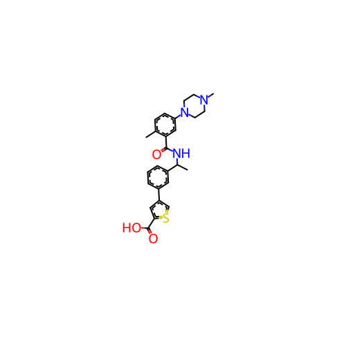 Cc1ccc(N2CCN(C)CC2)cc1C(=O)NC(C)c1cccc(-c2csc(C(=O)O)c2)c1